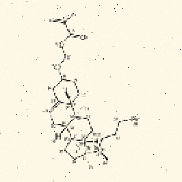 C=C(C)C(=O)OCOC1CC[C@@]2(C)C(=CC[C@H]3[C@]4(C)CC[C@](C)([C@H](C)CCCC(C)C)[C@H]4CC[C@@]32C)C1